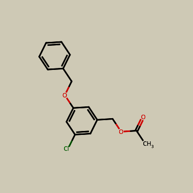 CC(=O)OCc1cc(Cl)cc(OCc2ccccc2)c1